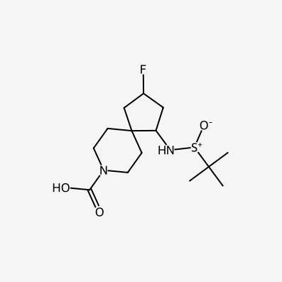 CC(C)(C)[S+]([O-])NC1CC(F)CC12CCN(C(=O)O)CC2